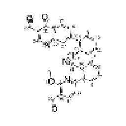 COc1nc(-c2cccc(-c3cccc(-c4ccn5c(=O)c(C=O)cnc5c4)c3Cl)c2C#N)ccc1C=O